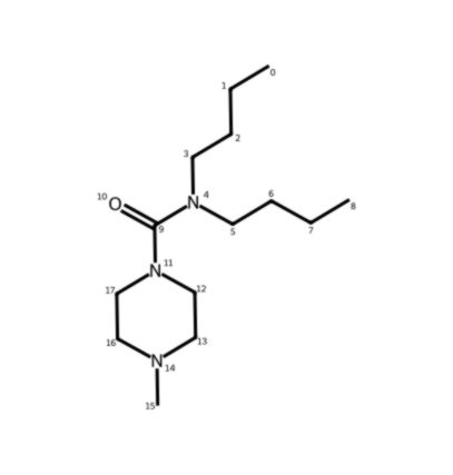 CCCCN(CCCC)C(=O)N1CCN(C)CC1